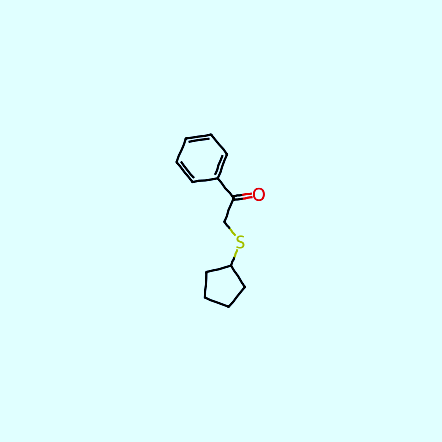 O=C(CSC1CCCC1)c1ccccc1